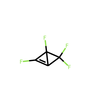 FC1=C2C(F)(F)C12F